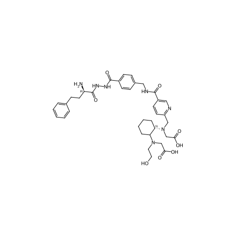 N[C@H](CCc1ccccc1)C(=O)NNC(=O)c1ccc(CNC(=O)c2ccc(CN(CC(=O)O)[C@H]3CCCCC3N(CCO)CC(=O)O)nc2)cc1